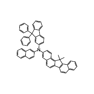 CC1(C)c2c(ccc3ccccc23)-c2ccc3cc(N(c4ccc5c(c4)C(c4ccccc4)(c4ccccc4)c4ccccc4-5)c4ccc5ccccc5c4)ccc3c21